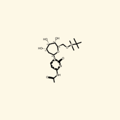 CC(=O)Nc1ccn([C@H]2C[C@H](O)[C@H](O)[C@H](O)[C@@H](CO[Si](C)(C)C(C)(C)C)O2)c(=O)n1